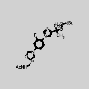 CC(=O)NC[C@H]1CN(c2ccc(-n3cnc(C(C)(C)O[SiH2]C(C)(C)C)c3)c(F)c2)CO1